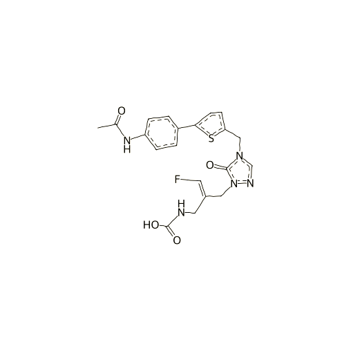 CC(=O)Nc1ccc(-c2ccc(Cn3cnn(CC(=CF)CNC(=O)O)c3=O)s2)cc1